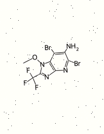 COn1c(C(F)(F)F)nc2nc(Br)c(N)c(Br)c21